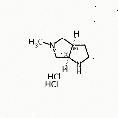 CN1C[C@H]2CCN[C@H]2C1.Cl.Cl